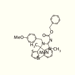 CNN(C)/C(=N/C(=O)OCc1ccccc1)N(Cc1ccc(OC)cc1)C(C)(c1cccs1)c1ccccc1Br